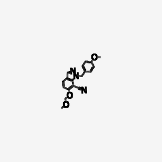 COCOc1ccc2cnn(Cc3ccc(OC)cc3)c2c1C#N